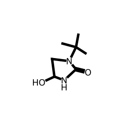 CC(C)(C)N1CC(O)NC1=O